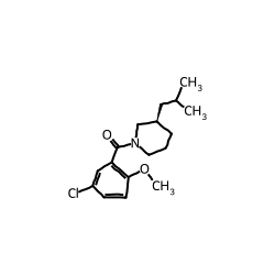 COc1ccc(Cl)cc1C(=O)N1CCC[C@H](CC(C)C)C1